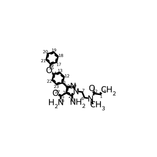 C=CC(=O)N(C)CCn1nc(-c2ccc(Oc3ccccc3)cc2)c(C(N)=O)c1N